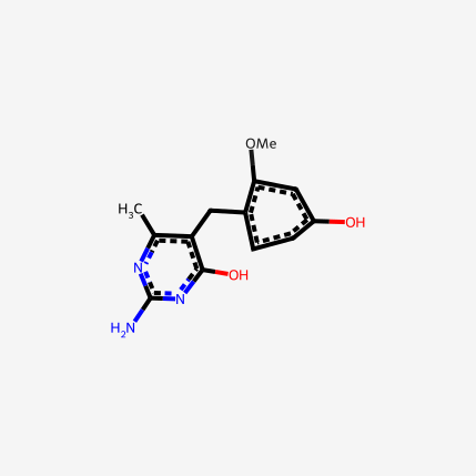 COc1cc(O)ccc1Cc1c(C)nc(N)nc1O